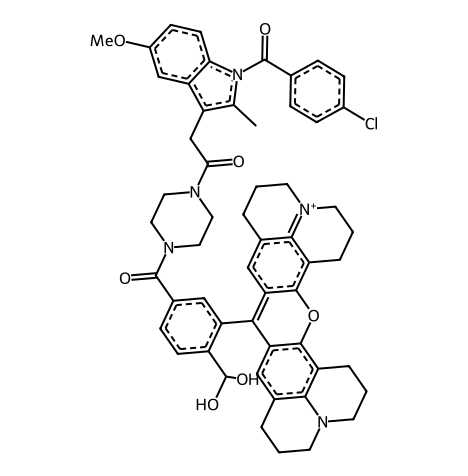 COc1ccc2c(c1)c(CC(=O)N1CCN(C(=O)c3ccc(C(O)O)c(C4=c5cc6c7c(c5Oc5c4cc4c8c5CCCN8CCC4)CCC[N+]=7CCC6)c3)CC1)c(C)n2C(=O)c1ccc(Cl)cc1